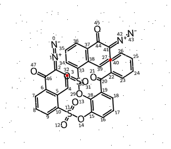 [N-]=[N+]=C1C=Cc2c(cccc2S(=O)(=O)Oc2cccc(C(=O)c3ccccc3)c2OS(=O)(=O)c2cccc3c2C=CC(=[N+]=[N-])C3=O)C1=O